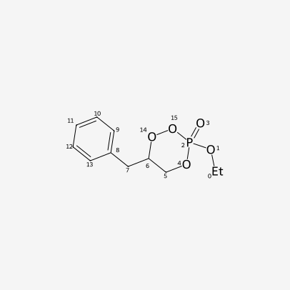 CCOP1(=O)OCC(Cc2ccccc2)OO1